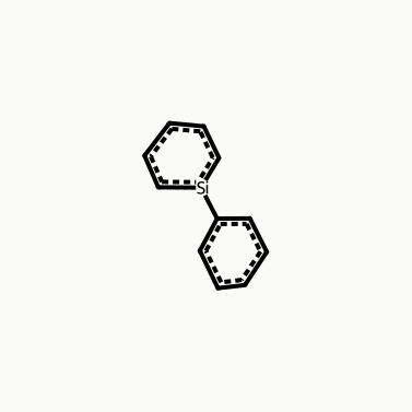 c1ccc(-[si]2ccccc2)cc1